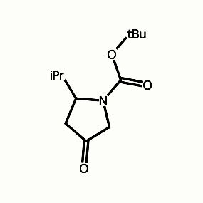 CC(C)C1CC(=O)CN1C(=O)OC(C)(C)C